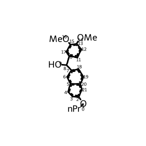 CCCOc1ccc2cc(C(O)c3ccc(OC)c(OC)c3)ccc2c1